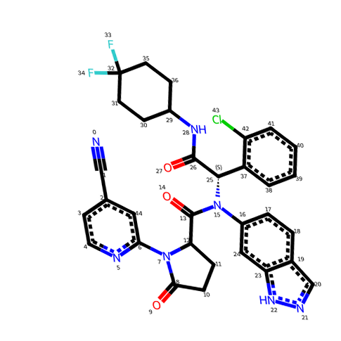 N#Cc1ccnc(N2C(=O)CCC2C(=O)N(c2ccc3cn[nH]c3c2)[C@H](C(=O)NC2CCC(F)(F)CC2)c2ccccc2Cl)c1